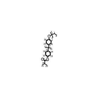 CCC(C)(C)Oc1ccc(C(C)(C)c2ccc(OC(=O)C(C)C)cc2)cc1